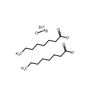 CCCCCCCC(=O)[O-].CCCCCCCC(=O)[O-].[Cl][Ag].[Zn+2]